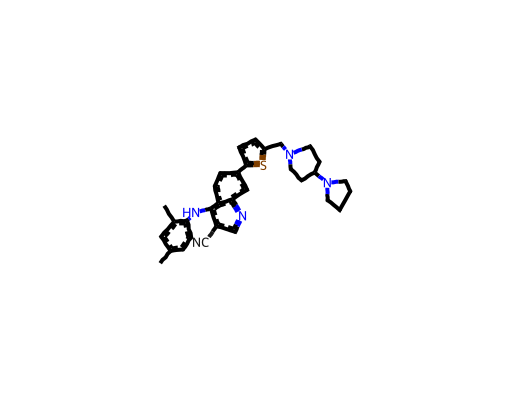 Cc1ccc(Nc2c(C#N)cnc3cc(-c4ccc(CN5CCC(N6CCCC6)CC5)s4)ccc23)c(C)c1